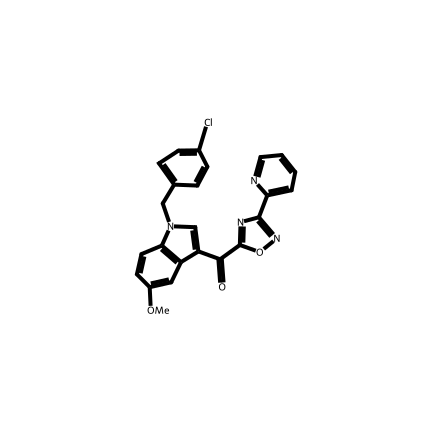 COc1ccc2c(c1)c(C(=O)c1nc(-c3ccccn3)no1)cn2Cc1ccc(Cl)cc1